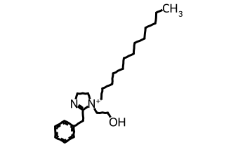 CCCCCCCCCCCCC[N+]1(CCO)CCN=C1Cc1ccccc1